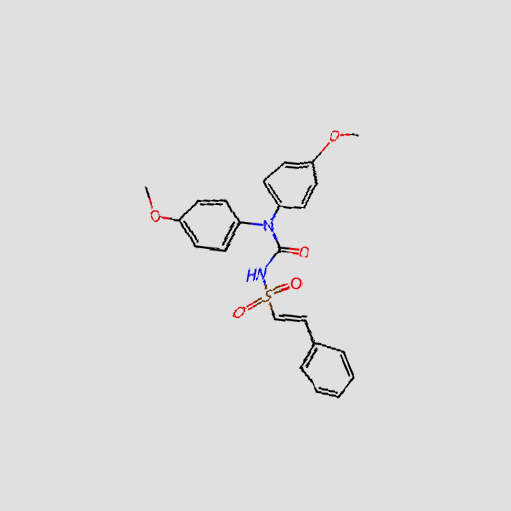 COc1ccc(N(C(=O)NS(=O)(=O)C=Cc2ccccc2)c2ccc(OC)cc2)cc1